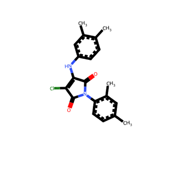 Cc1ccc(N2C(=O)C(Cl)=C(Nc3ccc(C)c(C)c3)C2=O)c(C)c1